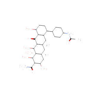 CC(=O)NC1CCC(C2CCC(O)C3C(=O)C4C(O)[C@]5(O)C(O)C(C(N)=O)C(O)C[C@@H]5C[C@@H]4CC23)CC1